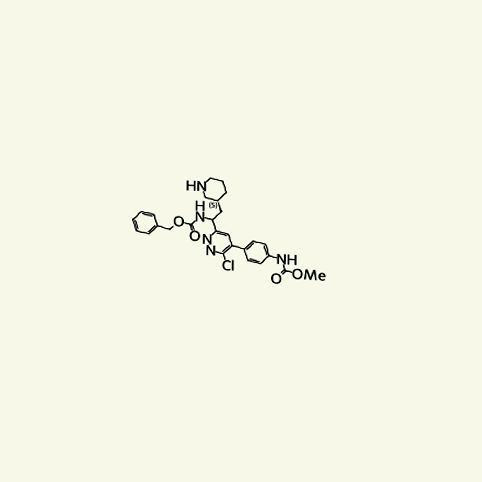 COC(=O)Nc1ccc(-c2cc(C(C[C@@H]3CCCNC3)NC(=O)OCc3ccccc3)nnc2Cl)cc1